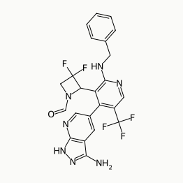 Nc1n[nH]c2ncc(-c3c(C(F)(F)F)cnc(NCc4ccccc4)c3C3N(C=O)CC3(F)F)cc12